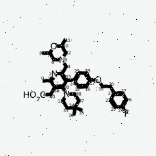 Cc1nc(CN2CC(C)OC(C)C2)c(-c2ccc(OCCc3ccc(F)cc3)cc2)c(N2CCC(C)(C)CC2)c1CC(=O)O